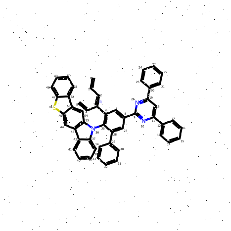 C=C/C=C(\C=C)c1cc(-c2nc(-c3ccccc3)cc(-c3ccccc3)n2)cc(-c2ccccc2)c1-n1c2ccccc2c2cc3sc4ccccc4c3cc21